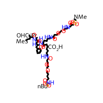 CCCCS(=O)(=O)NC(=O)CCCCOCCOCCC(=O)NCCCCC(CC(=O)C(CCCCNC(=O)CCOCCOCCNCC(=O)CS(=O)(=O)CCNC)NC(=O)C(CC(=O)C(CC(C)C)NC(=O)C(CC=O)CCSC)Cc1ccccc1)C(=O)O